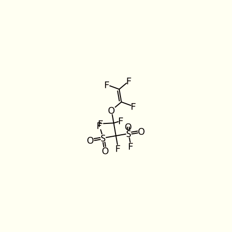 O=S(=O)(F)C(F)(C(F)(F)OC(F)=C(F)F)S(=O)(=O)F